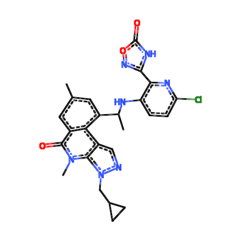 Cc1cc(C(C)Nc2ccc(Cl)nc2-c2noc(=O)[nH]2)c2c(c1)c(=O)n(C)c1c2cnn1CC1CC1